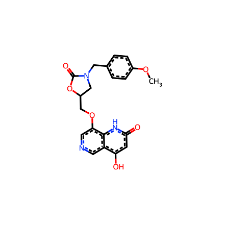 COc1ccc(CN2CC(COc3cncc4c(O)cc(=O)[nH]c34)OC2=O)cc1